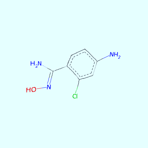 N/C(=N\O)c1ccc(N)cc1Cl